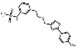 CC(C)(C)c1ccc(-c2nc(COCCc3cccc(NS(=O)(=O)C(F)(F)F)c3)cs2)cc1